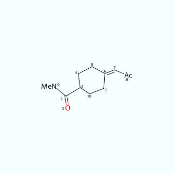 CNC(=O)C1CCC(=CC(C)=O)CC1